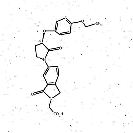 O=C(O)CN1Cc2ccc(N3CC[C@@H](Oc4ccc(OCC(F)(F)F)nc4)C3=O)cc2C1=O